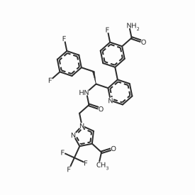 CC(=O)c1cn(CC(=O)N[C@@H](Cc2cc(F)cc(F)c2)c2ncccc2-c2ccc(F)c(C(N)=O)c2)nc1C(F)(F)F